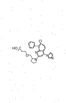 O=C(O)CCOCC1CCCN1c1cc(-n2ccnc2)c2ccc(Cl)c(-c3ccccc3)c2n1